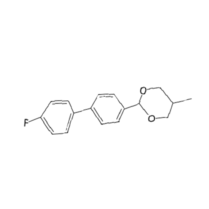 CC1COC(c2ccc(-c3ccc(F)cc3)cc2)OC1